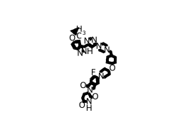 CC1(Oc2ccc3n[nH]c(-c4cc(N5CCN(CC6CCC(OC7CCN(c8cc9c(cc8F)C(=O)N(C8CCC(=O)NC8=O)C9)CC7)CC6)CC5)ncn4)c3c2)CC1